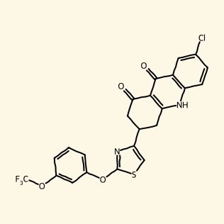 O=C1CC(c2csc(Oc3cccc(OC(F)(F)F)c3)n2)Cc2[nH]c3ccc(Cl)cc3c(=O)c21